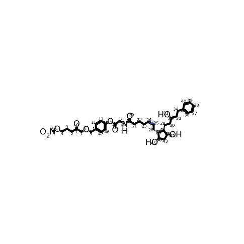 O=C(CCCO[N+](=O)[O-])COCc1ccc(OC(=O)CNC(=O)CCC/C=C\C[C@@H]2[C@@H](CC[C@@H](O)CCc3ccccc3)[C@H](O)C[C@@H]2O)cc1